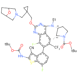 CCN(c1nc(OCC2(CN3CC4CCC(C3)O4)CC2)nc2c(F)c(-c3ccc(F)c4sc(NC(=O)OC(C)(C)C)c(C#N)c34)c(C(F)(F)F)cc12)[C@@H]1CCN(C(=O)OC(C)(C)C)[C@@H]1C